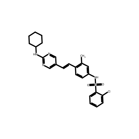 Cc1cc(NS(=O)(=O)c2ccccc2Cl)ccc1/C=C/c1cnc(NC2CCCCC2)nc1